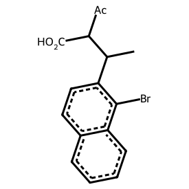 CC(=O)C(C(=O)O)C(C)c1ccc2ccccc2c1Br